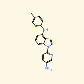 Cc1ccc(Nc2cccc3c2ccn3-c2ccc(N)cn2)cc1